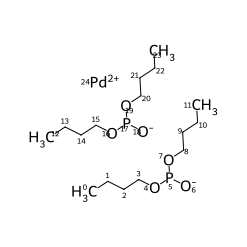 CCCCOP([O-])OCCCC.CCCCOP([O-])OCCCC.[Pd+2]